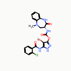 CN1C[C@@H](NC(=O)Oc2n[nH]c(NC(=O)c3ccccc3Cl)c2Br)C(=O)Nc2ccccc21